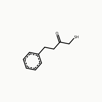 O=C(CS)CCc1ccccc1